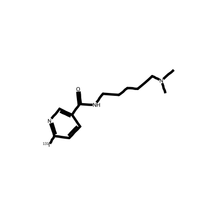 CN(C)CCCCCNC(=O)c1ccc([131I])nc1